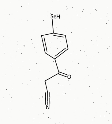 N#CCC(=O)c1ccc([SeH])cc1